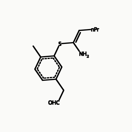 CCC/C=C(\N)Sc1cc(CC=O)ccc1C